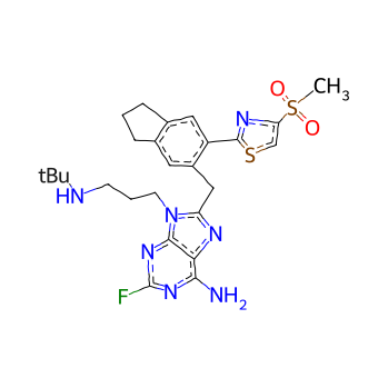 CC(C)(C)NCCCn1c(Cc2cc3c(cc2-c2nc(S(C)(=O)=O)cs2)CCC3)nc2c(N)nc(F)nc21